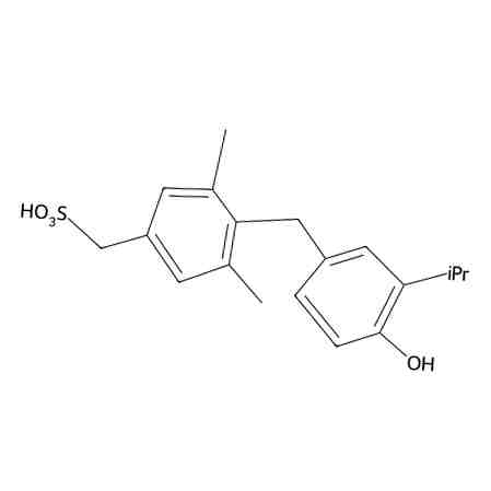 Cc1cc(CS(=O)(=O)O)cc(C)c1Cc1ccc(O)c(C(C)C)c1